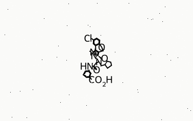 Cn1nc(C(=O)N(CC(=O)Nc2cccc(C(=O)O)c2)CC2CCCC2)c2c1-c1cc(Cl)ccc1OC2